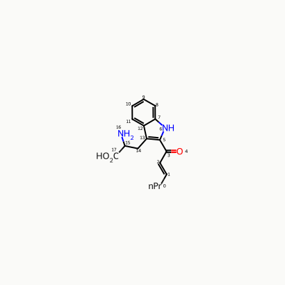 CCCC=CC(=O)c1[nH]c2ccccc2c1CC(N)C(=O)O